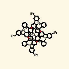 CC(C)c1ccc2c(c1)c1cc(C(C)C)ccc1n2-c1ccccc1-c1ccc2c(c1)-c1cc(-c3ccccc3-n3c4ccc(C(C)C)cc4c4cc(C(C)C)ccc43)ccc1S21(=O)c2ccc(-c3ccccc3-n3c4ccc(C(C)C)cc4c4cc(C(C)C)ccc43)cc2-c2cc(-c3ccccc3-n3c4ccc(C(C)C)cc4c4cc(C(C)C)ccc43)ccc21